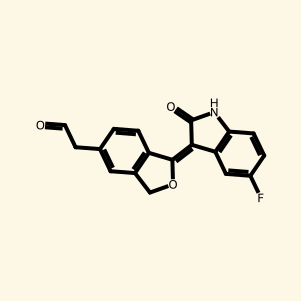 O=CCc1ccc2c(c1)COC2=C1C(=O)Nc2ccc(F)cc21